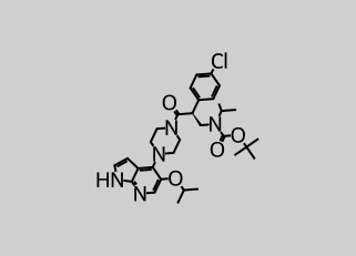 CC(C)Oc1cnc2[nH]ccc2c1N1CCN(C(=O)[C@H](CN(C(=O)OC(C)(C)C)C(C)C)c2ccc(Cl)cc2)CC1